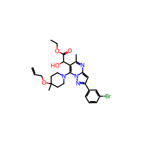 C=CCOC1(C)CCN(c2c(C(O)C(=O)OCC)c(C)nc3cc(-c4cccc(Br)c4)nn23)CC1